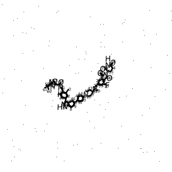 Cc1cc(-c2n[nH]c3ccc(-c4ccc(N5CCC(N(C)Cc6cc(F)c7c(c6)C(=O)N(C6CCC(=O)NC6=O)C7=O)CC5)cc4)cc23)ccc1CNC(=O)c1nc(C(C)(C)C)no1